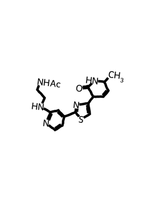 CC(=O)NCCNc1cc(-c2nc(C3C=CC(C)NC3=O)cs2)ccn1